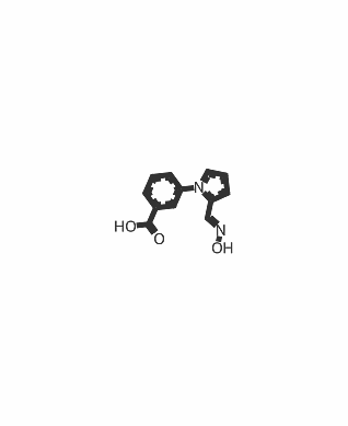 O=C(O)c1cccc(-n2cccc2C=NO)c1